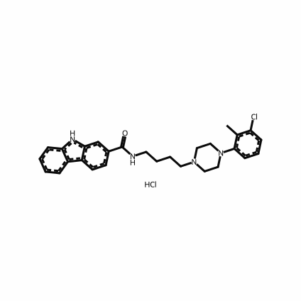 Cc1c(Cl)cccc1N1CCN(CCCCNC(=O)c2ccc3c(c2)[nH]c2ccccc23)CC1.Cl